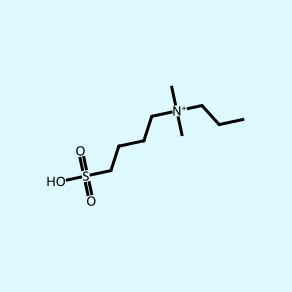 CCC[N+](C)(C)CCCCS(=O)(=O)O